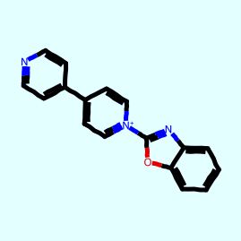 c1ccc2oc(-[n+]3ccc(-c4ccncc4)cc3)nc2c1